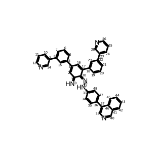 N=C1C=C(c2cccc(-c3cccnc3)c2)C=C(c2cccc(-c3cccnc3)c2)/C1=N/Nc1ccc(-c2cncc3ccccc23)cc1